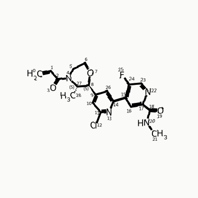 C=CC(=O)N1CCO[C@@H](c2cc(Cl)nc(-c3cc(C(=O)NC)ncc3F)c2)[C@@H]1C